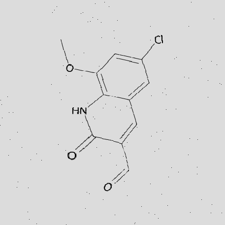 COc1cc(Cl)cc2cc(C=O)c(=O)[nH]c12